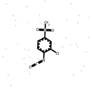 O=C=Nc1ccc(S(=O)(=O)C(F)(F)F)cc1Cl